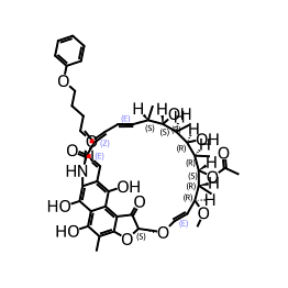 CO[C@H]1/C=C/O[C@@]2(C)Oc3c(C)c(O)c4c(O)c(c(/C=N/OCCCCOc5ccccc5)c(O)c4c3C2=O)NC(=O)/C(C)=C\C=C\[C@H](C)[C@H](O)[C@@H](C)[C@@H](O)[C@@H](C)[C@H](OC(C)=O)[C@@H]1C